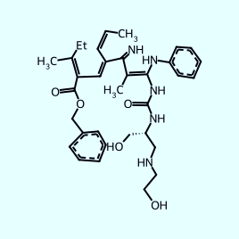 C\C=C/C(=C\C(C(=O)OCc1ccccc1)=C(\C)CC)C(=N)/C(C)=C(/NC(=O)N[C@@H](CO)CNCCO)Nc1ccccc1